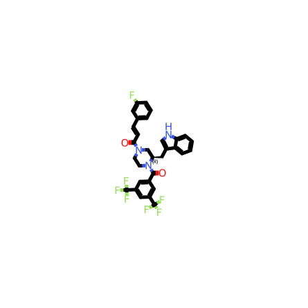 O=C(C=Cc1cccc(F)c1)N1CCN(C(=O)c2cc(C(F)(F)F)cc(C(F)(F)F)c2)[C@H](Cc2c[nH]c3ccccc23)C1